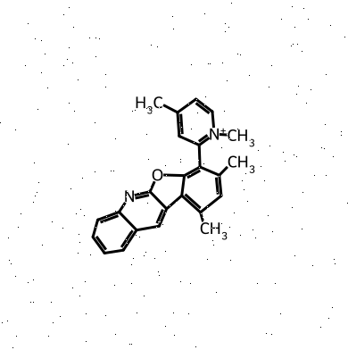 Cc1cc[n+](C)c(-c2c(C)cc(C)c3c2oc2nc4ccccc4cc23)c1